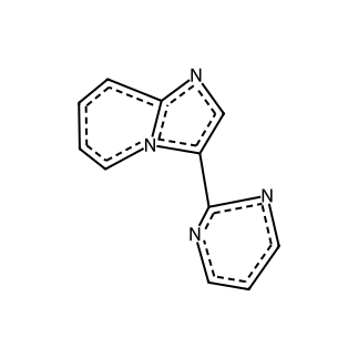 c1cnc(-c2cnc3ccccn23)nc1